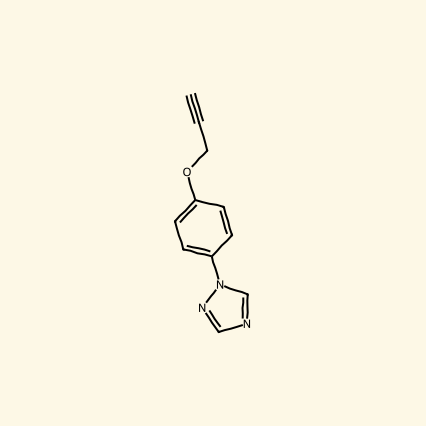 C#CCOc1ccc(-n2cncn2)cc1